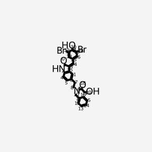 O=C1Nc2ccc(CCN(Cc3ccccc3)C(=O)CO)cc2C1=Cc1cc(Br)c(O)c(Br)c1